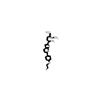 C=C(/C=C\C(=C/C)NC)c1cc2ccc(-c3ccc(OCCF)cc3)nc2s1